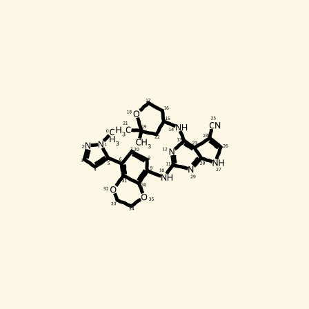 Cn1nccc1-c1ccc(Nc2nc(NC3CCOC(C)(C)C3)c3c(C#N)c[nH]c3n2)c2c1OCCO2